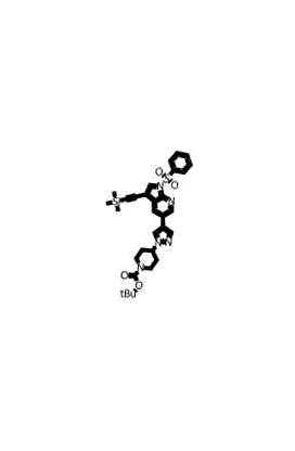 CC(C)(C)OC(=O)N1CCC(n2cc(-c3cnc4c(c3)c(C#C[Si](C)(C)C)cn4S(=O)(=O)c3ccccc3)cn2)CC1